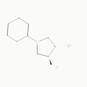 N[C@H]1CN(C2CCCCC2)C[C@@H]1O